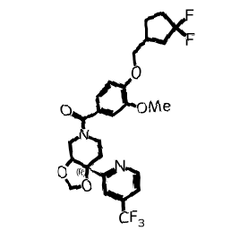 COc1cc(C(=O)N2CC[C@]3(c4cc(C(F)(F)F)ccn4)OCOC3C2)ccc1OCC1CCC(F)(F)C1